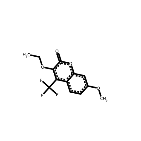 CCOc1c(C(F)(F)F)c2ccc(OC)cc2oc1=O